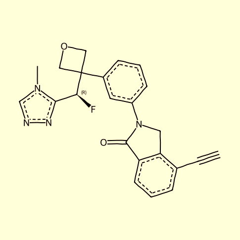 C#Cc1cccc2c1CN(c1cccc(C3([C@@H](F)c4nncn4C)COC3)c1)C2=O